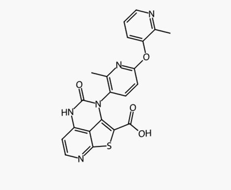 Cc1ncccc1Oc1ccc(N2C(=O)Nc3ccnc4sc(C(=O)O)c2c34)c(C)n1